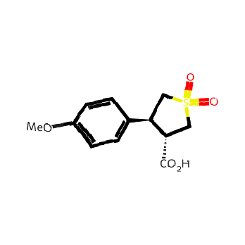 COc1ccc([C@H]2CS(=O)(=O)C[C@@H]2C(=O)O)cc1